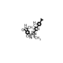 CCn1nc(-c2cnc(-c3ccc(C4CC4)cc3)c(C)c2)nc1Nc1cc2c(cc1C)C(=O)NC2C